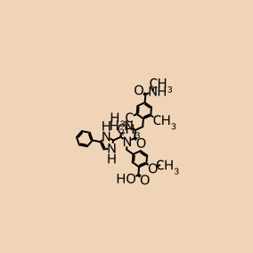 CNC(=O)c1cc(C)c(CC(N)C(=O)N(Cc2ccc(OC)c(C(=O)O)c2)C(C)C2NC=C(c3ccccc3)N2)c(C)c1